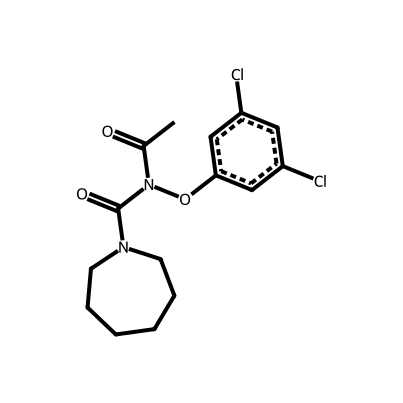 CC(=O)N(Oc1cc(Cl)cc(Cl)c1)C(=O)N1CCCCCC1